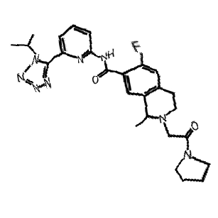 CC1c2cc(C(=O)Nc3cccc(-c4nnnn4C(C)C)n3)c(F)cc2CCN1CC(=O)N1CCCC1